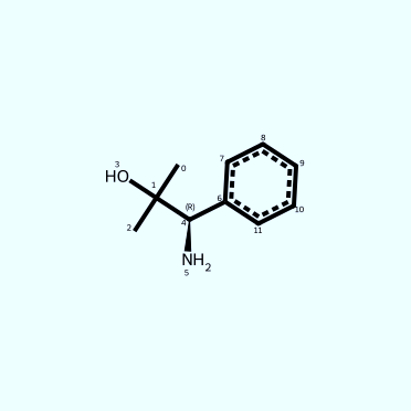 CC(C)(O)[C@H](N)c1ccccc1